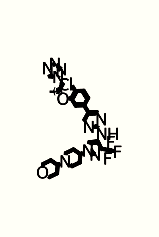 C[C@@H](Cn1cnnn1)Oc1cc(-c2cnc(Nc3cn(C4CCN(C5CCOCC5)CC4)nc3C(F)(F)F)nc2)ccc1Cl